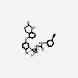 C#Cc1cccc(NC(=O)N[C@@]23C[C@H]2[C@H]3c2cc(Oc3ccnc4c3CCC(=O)N4)ccc2O)c1